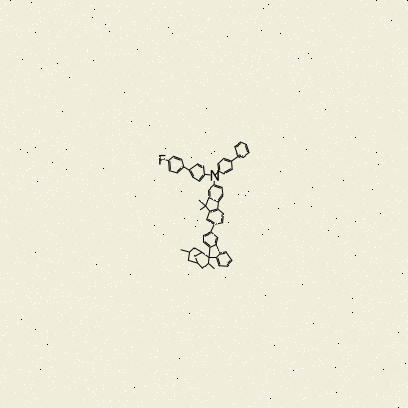 CC1CC2CC(C)C3(c4ccccc4-c4cc(-c5ccc6c(c5)C(C)(C)c5cc(N(c7ccc(-c8ccccc8)cc7)c7ccc(-c8ccc(F)cc8)cc7)ccc5-6)ccc43)C(C1)C2